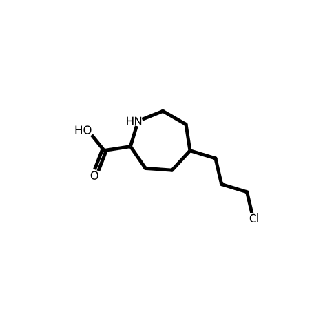 O=C(O)C1CCC(CCCCl)CCN1